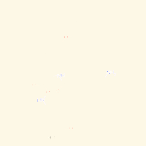 CC(=O)c1ccc(NOC(=O)[C@H](Cc2ccc(OCc3ccccc3)cc2)NC(=O)C2CCC(CN)CC2)cc1